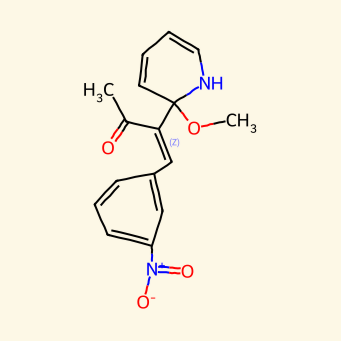 COC1(/C(=C/c2cccc([N+](=O)[O-])c2)C(C)=O)C=CC=CN1